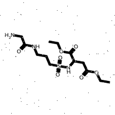 CCOC(=O)CC(NS(=O)(=O)CCCNC(=O)CN)C(=O)OCC